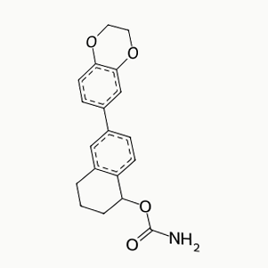 NC(=O)OC1CCCc2cc(-c3ccc4c(c3)OCCO4)ccc21